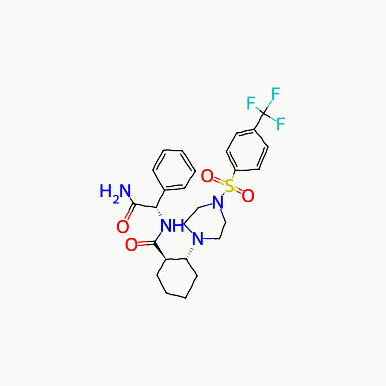 NC(=O)[C@@H](NC(=O)[C@@H]1CCCC[C@H]1N1CCN(S(=O)(=O)c2ccc(C(F)(F)F)cc2)CC1)c1ccccc1